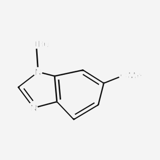 COc1ccc2ncn(C(C)(C)C)c2c1